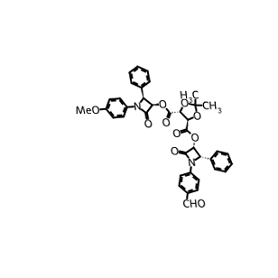 COc1ccc(N2C(=O)[C@H](OC(=O)[C@@H]3OC(C)(C)O[C@H]3C(=O)O[C@H]3C(=O)N(c4ccc(C=O)cc4)[C@H]3c3ccccc3)[C@@H]2c2ccccc2)cc1